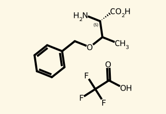 CC(OCc1ccccc1)[C@H](N)C(=O)O.O=C(O)C(F)(F)F